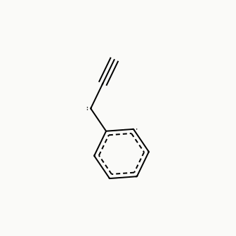 C#C[C]c1[c]cccc1